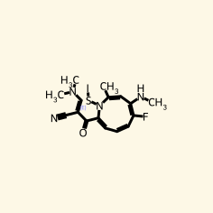 CNc1cc(C)n(SI)c(C(=O)/C(C#N)=C/N(C)C)cccc1F